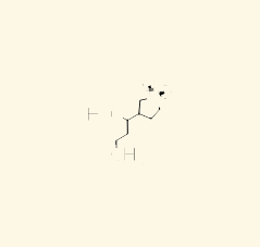 CCCC(C)C1CCS(=O)(=O)C1